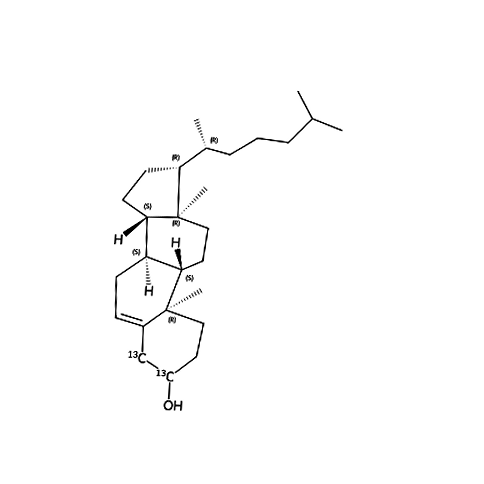 CC(C)CCC[C@@H](C)[C@H]1CC[C@H]2[C@@H]3CC=C4[13CH2][13CH](O)CC[C@]4(C)[C@H]3CC[C@]12C